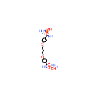 N=C(OP(N)(=O)O)c1ccc(OCCCCCOc2ccc(C(=N)OP(N)(=O)O)cc2)cc1